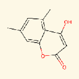 Cc1cc(C)c2c(O)cc(=O)oc2c1